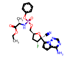 CCOC(=O)[C@H](C)NP(=O)(OC[C@@H]1C[C@@H](F)[C@](C#N)(c2ccc3c(N)ncnn23)O1)Oc1ccccc1